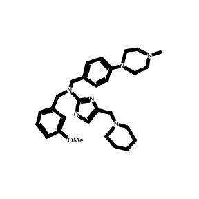 COc1cccc(CN(Cc2ccc(N3CCN(C)CC3)cc2)c2nc(CN3CCCCC3)co2)c1